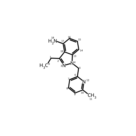 CCc1nn(Cc2cccc(C)n2)c2cccc(N)c12